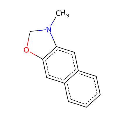 CN1COc2cc3ccccc3cc21